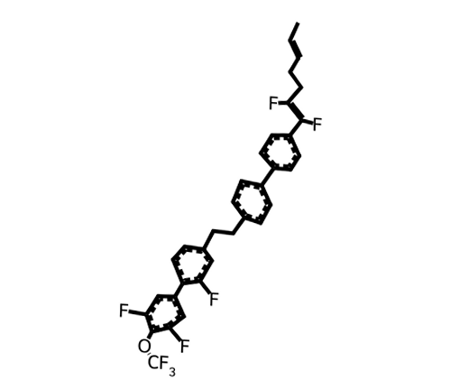 C/C=C/CC/C(F)=C(\F)c1ccc(-c2ccc(CCc3ccc(-c4cc(F)c(OC(F)(F)F)c(F)c4)c(F)c3)cc2)cc1